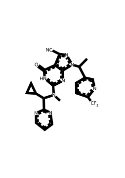 CC(c1ccc(C(F)(F)F)nc1)n1nc(C#N)c2c(=O)[nH]c(N(C)C(c3ncccn3)C3CC3)nc21